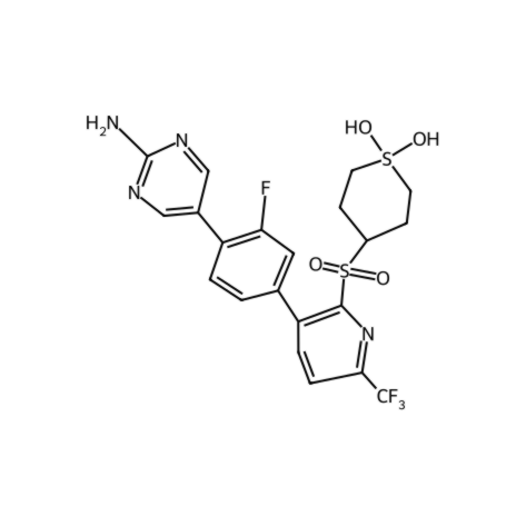 Nc1ncc(-c2ccc(-c3ccc(C(F)(F)F)nc3S(=O)(=O)C3CCS(O)(O)CC3)cc2F)cn1